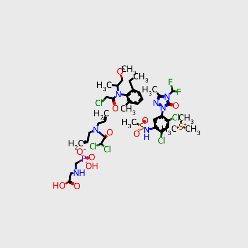 C=CCN(CC=C)C(=O)C(Cl)Cl.CCc1cccc(C)c1N(C(=O)CCl)C(C)COC.C[S+](C)C.Cc1nn(-c2cc(NS(C)(=O)=O)c(Cl)cc2Cl)c(=O)n1C(F)F.O=C(O)CNCP(=O)([O-])O